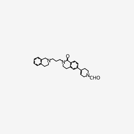 O=CN1CC=C(c2ccc3c(c2)CCN(CCCN2CCc4ccccc4C2)C3=O)CC1